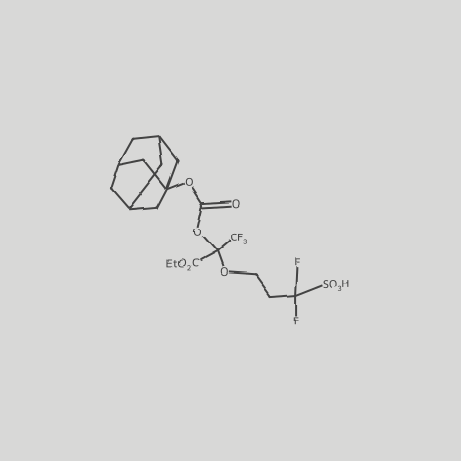 CCOC(=O)C(OCCC(F)(F)S(=O)(=O)O)(OC(=O)OC12CC3CC(CC(C3)C1)C2)C(F)(F)F